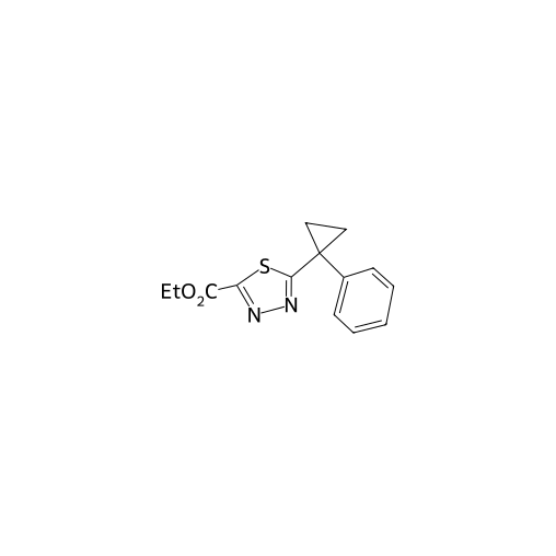 CCOC(=O)c1nnc(C2(c3ccccc3)CC2)s1